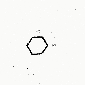 C1CCCCC1.[H+].[Pt]